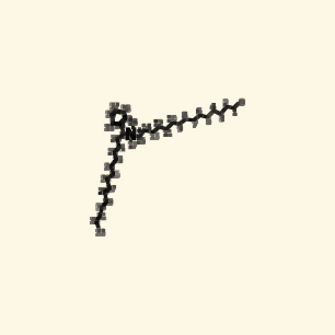 CCCCCCCCCCCCCCCC[N+](C)(C)C(CCCCCCCCCCCCCC)c1ccccc1